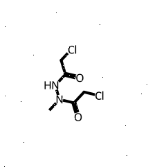 CN(NC(=O)CCl)C(=O)CCl